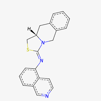 c1ccc2c(c1)C[C@H]1CSC(=Nc3cccc4cnccc34)N1C2